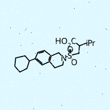 CC(C)C(CS(=O)(=O)N1CCc2cc(C3CCCCC3)ccc2C1)C(=O)O